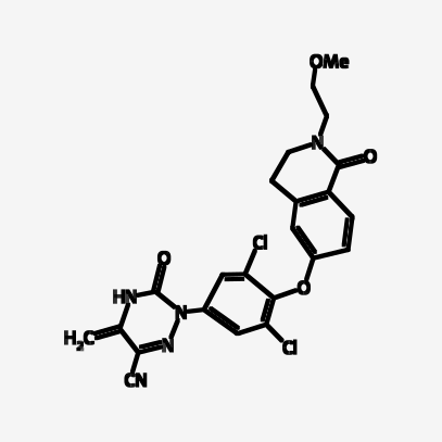 C=C1NC(=O)N(c2cc(Cl)c(Oc3ccc4c(c3)CCN(CCOC)C4=O)c(Cl)c2)N=C1C#N